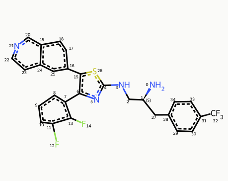 N[C@H](CNc1nc(-c2cccc(F)c2F)c(-c2ccc3cnccc3c2)s1)Cc1ccc(C(F)(F)F)cc1